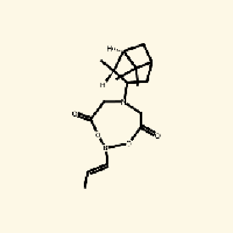 C/C=C/B1OC(=O)CN(C2CC3C[C@H]([C@H]2C)C3(C)C)CC(=O)O1